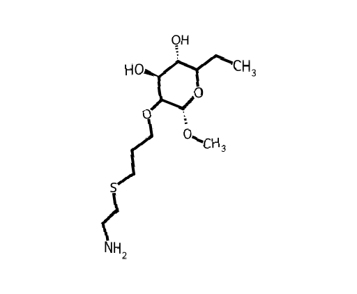 CCC1O[C@H](OC)C(OCCCSCCN)[C@@H](O)[C@@H]1O